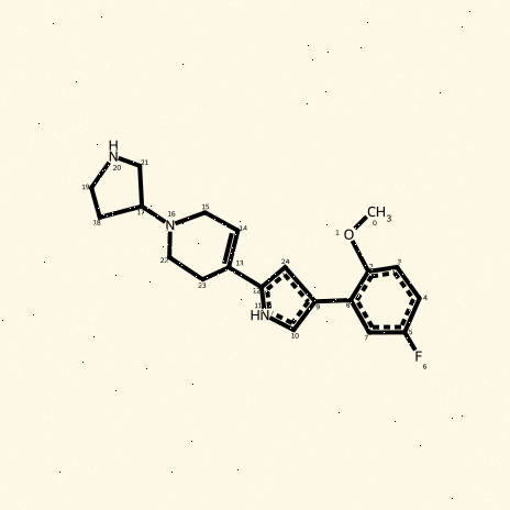 COc1ccc(F)cc1-c1c[nH]c(C2=CCN(C3CCNC3)CC2)c1